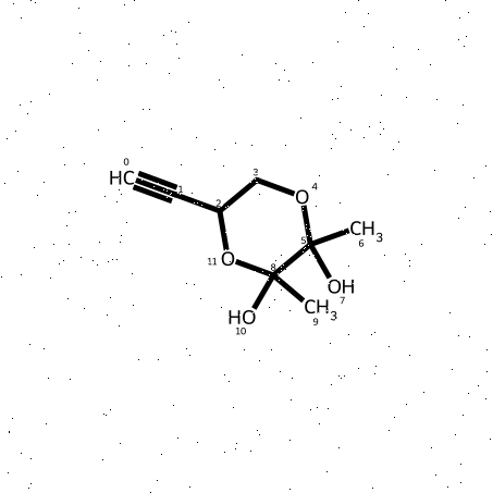 C#CC1COC(C)(O)C(C)(O)O1